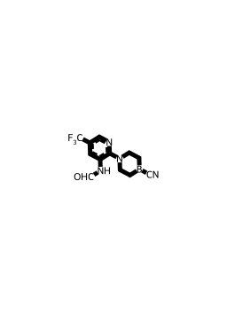 N#CB1CCN(c2ncc(C(F)(F)F)cc2NC=O)CC1